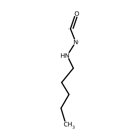 CCCCCN[N][C]=O